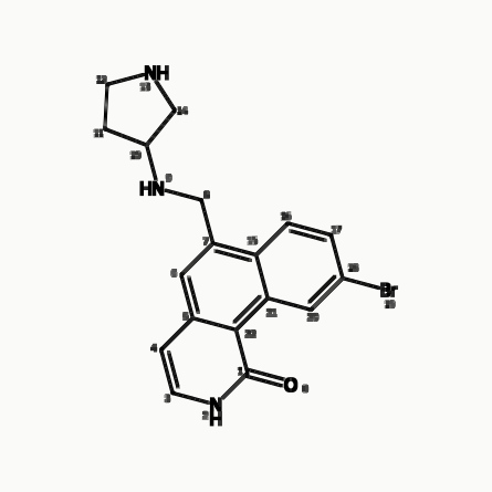 O=c1[nH]ccc2cc(CNC3CCNC3)c3ccc(Br)cc3c12